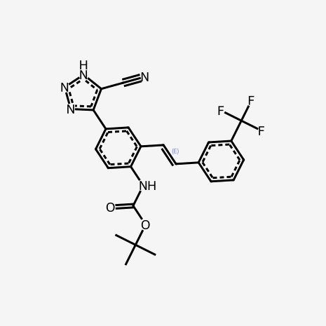 CC(C)(C)OC(=O)Nc1ccc(-c2nn[nH]c2C#N)cc1/C=C/c1cccc(C(F)(F)F)c1